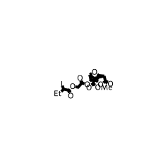 CCC(I)C(=O)OCC(=O)OC1C2OC(=O)C3C2OC1C3C(=O)OC